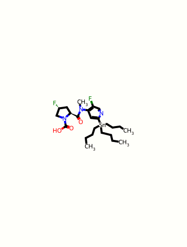 CCC[CH2][Sn]([CH2]CCC)([CH2]CCC)[c]1cc(N(C)C(=O)[C@@H]2C[C@@H](F)CN2C(=O)O)c(F)cn1